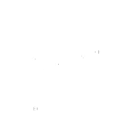 CCC#CC(=O)Oc1ccccc1OC(F)(F)F